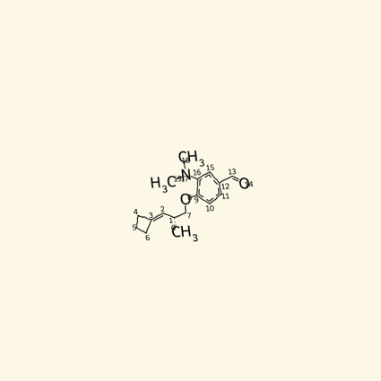 C[C@H](C=C1CCC1)COc1ccc(C=O)cc1N(C)C